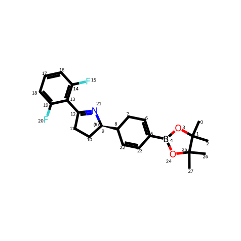 CC1(C)OB(C2=CCC([C@H]3CCC(c4c(F)cccc4F)=N3)C=C2)OC1(C)C